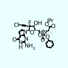 CC(C)OC(=O)[C@H](C)NP(=O)(OC[C@H]1O[C@@H](n2ccc3c(=O)[nH]c(N)nc32)C(F)(C#CCl)C1O)Oc1ccccc1